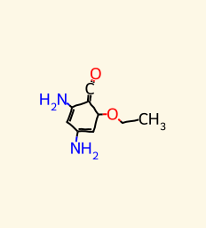 CCOC1C=C(N)C=C(N)C1=C=O